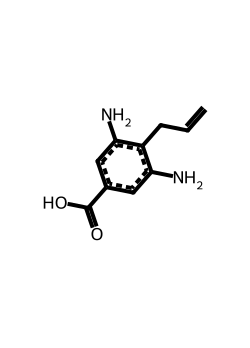 C=CCc1c(N)cc(C(=O)O)cc1N